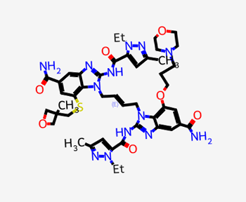 CCn1nc(C)cc1C(=O)Nc1nc2cc(C(N)=O)cc(OCCCN3CCOCC3)c2n1C/C=C/Cn1c(NC(=O)c2cc(C)nn2CC)nc2cc(C(N)=O)cc(SCC3(C)COC3)c21